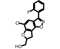 OCC1Cc2c(c(Cl)cc3c(-c4ccccc4F)noc23)O1